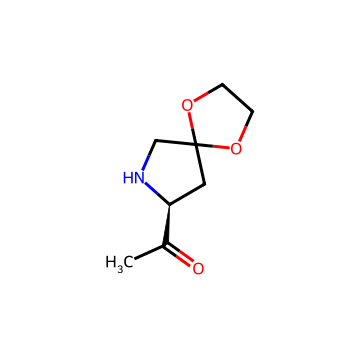 CC(=O)[C@@H]1CC2(CN1)OCCO2